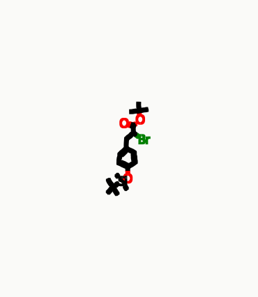 CC(C)(C)OC(=O)C(Br)Cc1ccc(O[Si](C)(C)C(C)(C)C)cc1